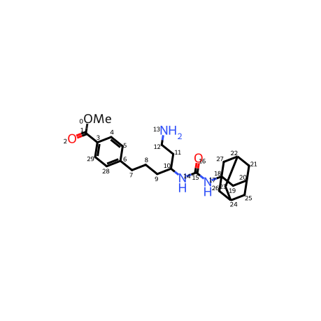 COC(=O)c1ccc(CCCC(CCN)NC(=O)NC23CC4CC(CC(C4)C2)C3)cc1